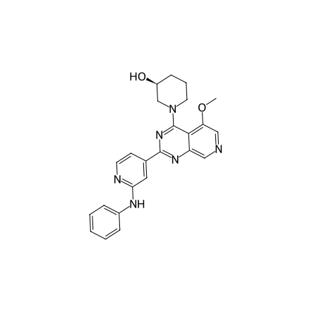 COc1cncc2nc(-c3ccnc(Nc4ccccc4)c3)nc(N3CCC[C@H](O)C3)c12